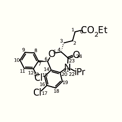 CCOC(=O)CCC[C@H]1O[C@H](c2ccccc2Cl)c2cc(Cl)ccc2N(C(C)C)C1=O